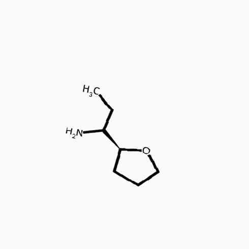 CCC(N)[C@@H]1CCCO1